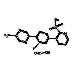 CCC(C)S(=O)(=O)c1ncccc1-c1ccc(-c2cnc(N)cn2)c(F)c1.O=CO